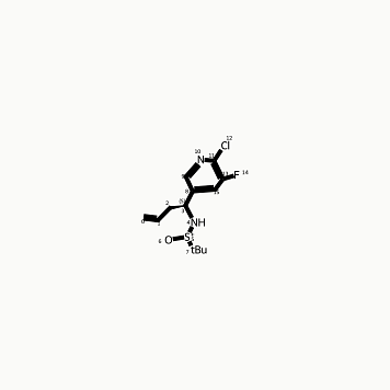 C=CC[C@H](N[S+]([O-])C(C)(C)C)c1cnc(Cl)c(F)c1